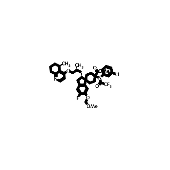 COCOc1cc2c(cc1F)C[C@H](C[C@@H](C)COc1ccnc3c1[C@H](C)CCC3)C21CCC(C(=O)OC)(N(C(=O)C(F)(F)F)c2cccc(Cl)c2)CC1